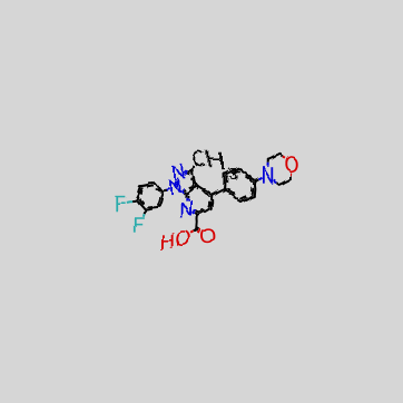 Cc1nn(-c2ccc(F)c(F)c2)c2nc(C(=O)O)cc(-c3ccc(N4CCOCC4)cc3)c12